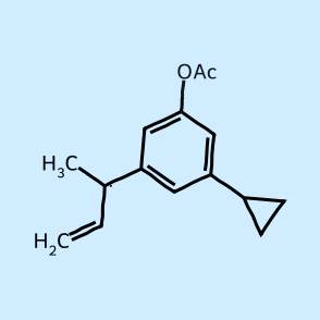 C=C[C](C)c1cc(OC(C)=O)cc(C2CC2)c1